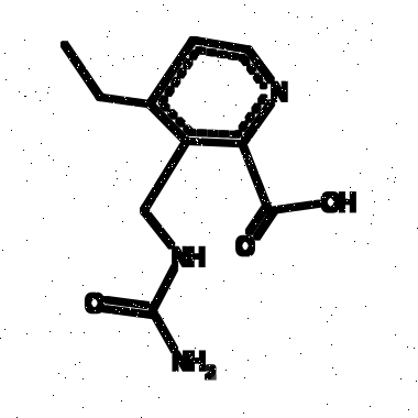 CCc1ccnc(C(=O)O)c1CNC(N)=O